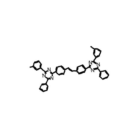 Cc1cccc(-c2nc(-c3ccccc3)nc(-c3ccc(C=Cc4ccc(-c5nc(-c6ccccc6)nc(-c6cccc(C)c6)n5)cc4)cc3)n2)c1